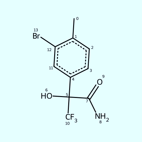 Cc1ccc(C(O)(C(N)=O)C(F)(F)F)cc1Br